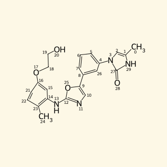 Cc1cn(-c2cccc(-c3cnc(Nc4cc(OCCO)ccc4C)o3)c2)c(=O)[nH]1